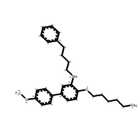 CC(=O)OCCCCCOc1ccc(-c2ccc(OC(F)(F)F)cc2)cc1NCCCCc1ccccc1